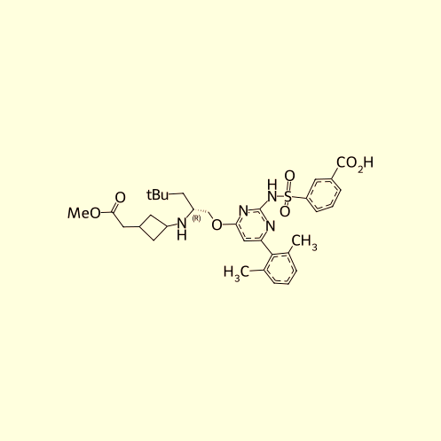 COC(=O)CC1CC(N[C@@H](COc2cc(-c3c(C)cccc3C)nc(NS(=O)(=O)c3cccc(C(=O)O)c3)n2)CC(C)(C)C)C1